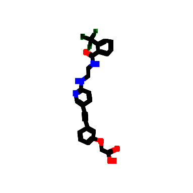 O=C(O)COc1cccc(C#Cc2ccc(NCCNC(=O)c3ccccc3C(F)(F)F)nc2)c1